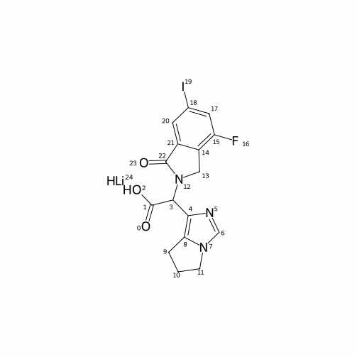 O=C(O)C(c1ncn2c1CCC2)N1Cc2c(F)cc(I)cc2C1=O.[LiH]